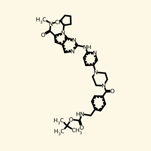 CN(C)C(=O)c1cc2cnc(Nc3ccc(N4CCN(C(=O)c5ccc(CNC(=O)OC(C)(C)C)cc5)CC4)cn3)nc2n1C1CCCC1